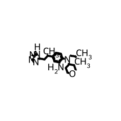 CC(C)CN(c1ccc([C@H](C)Cc2nnn[nH]2)cc1N)C1CCOCC1